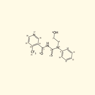 O=C(NC(=S)N(CCO)c1ccccc1)c1cnccc1C(F)(F)F